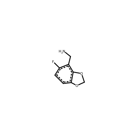 NCc1c(F)ccc2c1OCO2